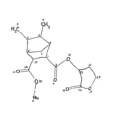 CC1C(C)C2CC1C(C(=O)OC1CCOC1=O)C2C(=O)OC(C)(C)C